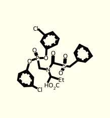 CCC(C(=O)O)N(CP(=O)(Oc1cccc(Cl)c1)Oc1cccc(Cl)c1)C(=O)S(=O)(=O)Cc1ccccc1